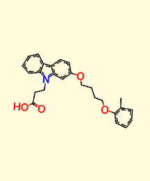 Cc1ccccc1OCCCCOc1ccc2c3ccccc3n(CCC(=O)O)c2c1